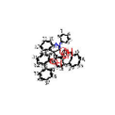 O=C1N(c2ccccc2)c2ccccc2C1(c1cccc(-c2ccccc2)c1O)c1cccc(-c2ccccc2)c1O